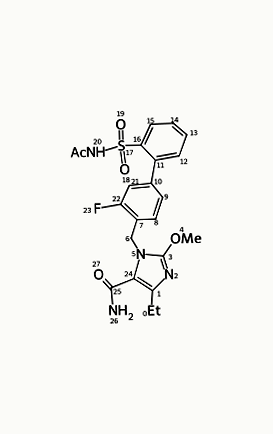 CCc1nc(OC)n(Cc2ccc(-c3ccccc3S(=O)(=O)NC(C)=O)cc2F)c1C(N)=O